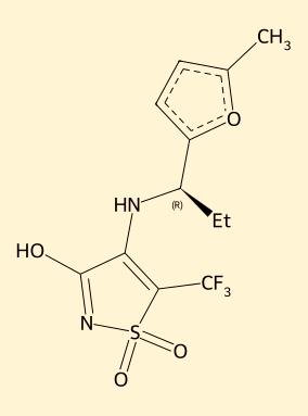 CC[C@@H](NC1=C(C(F)(F)F)S(=O)(=O)N=C1O)c1ccc(C)o1